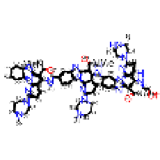 CNC(=O)c1c(NCCO)c2ccc(N3C[C@@H](C)N[C@@H](C)C3)nc2n2c1nc1ccc(Nc3c(C(=O)NC)c4nc5cc(CN(C)c6c(C(=O)NC)c7nc8ccccc8n7c7nc(N8CCCN(C)CC8)ccc67)ccc5n4c4nc(N5CCCN(C)CC5)ccc34)cc12